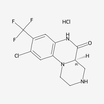 Cl.O=C1Nc2cc(C(F)(F)F)c(Cl)cc2N2CCNC[C@H]12